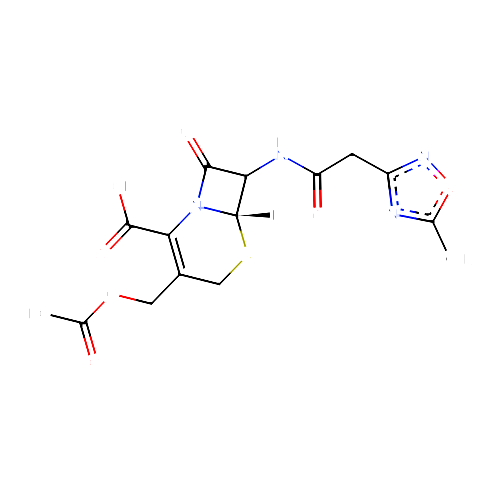 CC(=O)OCC1=C(C(=O)O)N2C(=O)C(NC(=O)Cc3noc(C)n3)[C@@H]2SC1